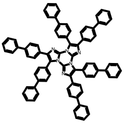 c1ccc(-c2ccc(-c3nc4n(c3-c3ccc(-c5ccccc5)cc3)c3nc(-c5ccc(-c6ccccc6)cc5)c(-c5ccc(-c6ccccc6)cc5)n3c3nc(-c5ccc(-c6ccccc6)cc5)c(-c5ccc(-c6ccccc6)cc5)n43)cc2)cc1